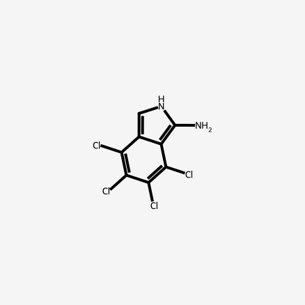 Nc1[nH]cc2c(Cl)c(Cl)c(Cl)c(Cl)c12